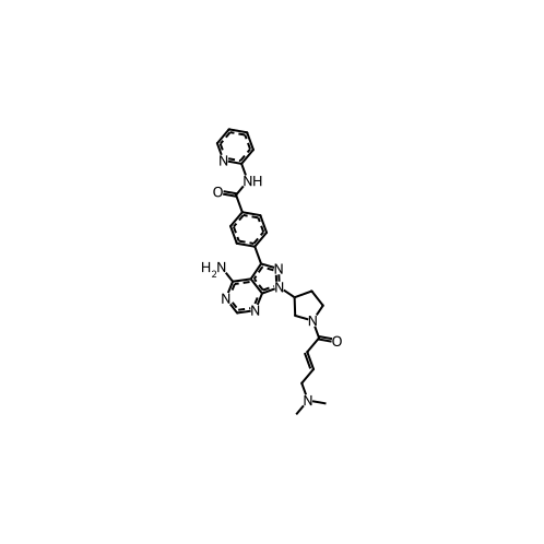 CN(C)CC=CC(=O)N1CCC(n2nc(-c3ccc(C(=O)Nc4ccccn4)cc3)c3c(N)ncnc32)C1